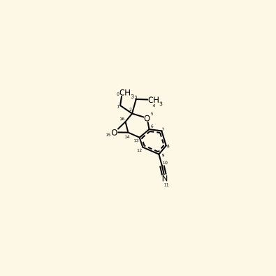 CCC1(CC)Oc2ccc(C#N)cc2C2OC21